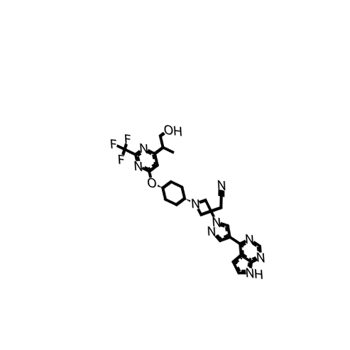 CC(CO)c1cc(O[C@H]2CC[C@@H](N3CC(CC#N)(n4cc(-c5ncnc6[nH]ccc56)cn4)C3)CC2)nc(C(F)(F)F)n1